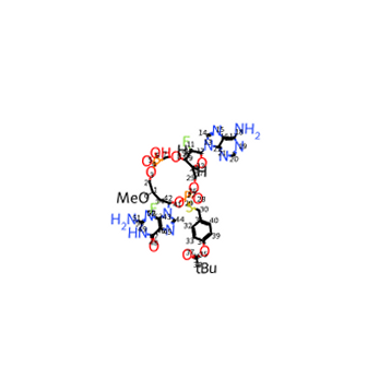 CO[C@@H]1COP(=O)(O)CO[C@H]2[C@@H](F)[C@H](n3cnc4c(N)ncnc43)O[C@@H]2COP(=O)(SCc2ccc(OC(=O)C(C)(C)C)cc2)O[C@@H](n2cnc3c(=O)[nH]c(N)nc32)[C@@H]1F